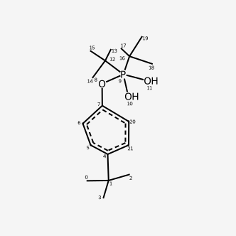 CC(C)(C)c1ccc(OP(O)(O)(C(C)(C)C)C(C)(C)C)cc1